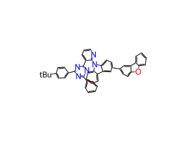 CC(C)(C)c1ccc(-c2nc(-c3ccccc3)nc(-c3cccnc3-n3c4ccccc4c4cc(-c5ccc6oc7ccccc7c6c5)ccc43)n2)cc1